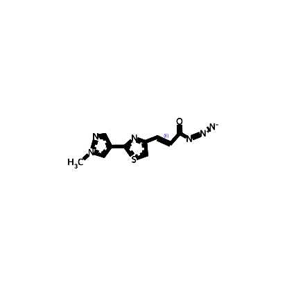 Cn1cc(-c2nc(/C=C/C(=O)N=[N+]=[N-])cs2)cn1